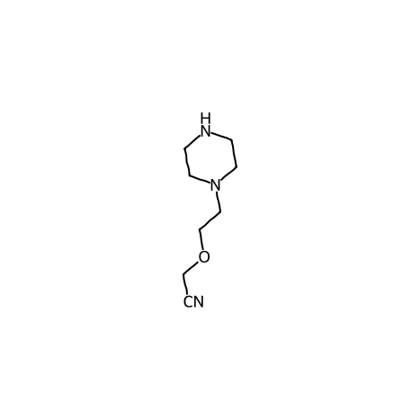 N#CCOCCN1CCNCC1